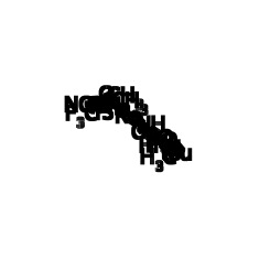 CC1CCCN1C(=O)C(NC(=O)c1ccc(C(=O)Nc2ccc(-c3ccc(N4C(=S)N(c5ccc(C#N)c(C(F)(F)F)c5F)C(=O)C4(C)C)cn3)cc2)cc1F)C(C)(C)C